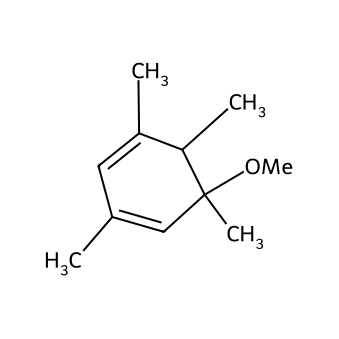 COC1(C)C=C(C)C=C(C)C1C